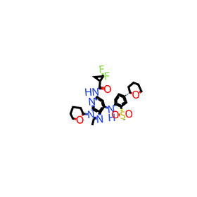 Cc1nc2c(Nc3ccc([C@@H]4CCCCO4)cc3S(C)(=O)=O)cc(NC(=O)C3CC3(F)F)nc2n1C1CCCCO1